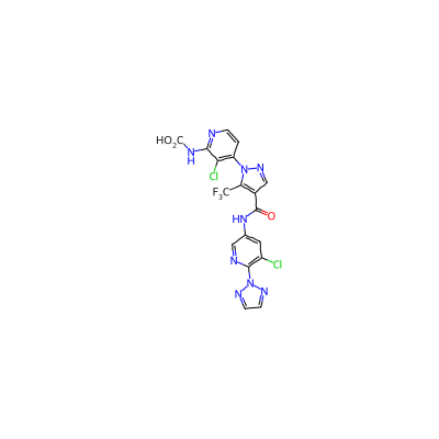 O=C(O)Nc1nccc(-n2ncc(C(=O)Nc3cnc(-n4nccn4)c(Cl)c3)c2C(F)(F)F)c1Cl